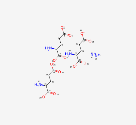 N[C@@H](CCC(=O)[O-])C(=O)[O-].N[C@@H](CCC(=O)[O-])C(=O)[O-].N[C@@H](CCC(=O)[O-])C(=O)[O-].[N+3].[N+3]